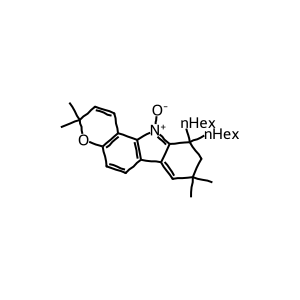 CCCCCCC1(CCCCCC)CC(C)(C)C=C2C1=[N+]([O-])c1c2ccc2c1C=CC(C)(C)O2